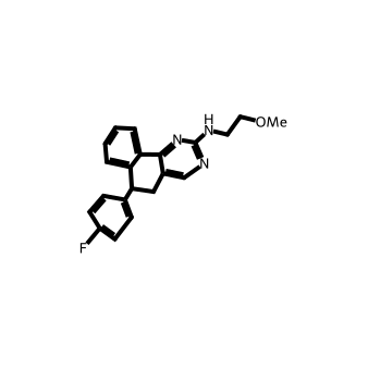 COCCNc1ncc2c(n1)-c1ccccc1C(c1ccc(F)cc1)C2